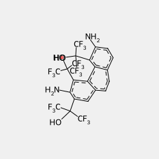 Nc1ccc2ccc3cc(C(O)(C(F)(F)F)C(F)(F)F)c(N)c(C(O)(C(F)(F)F)C(F)(F)F)c3c2c1C(O)(C(F)(F)F)C(F)(F)F